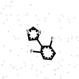 Fc1cccc(F)c1-c1cscn1